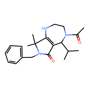 CC(=O)N1CCNC2=C(C(=O)N(Cc3ccccc3)C2(C)C)C1C(C)C